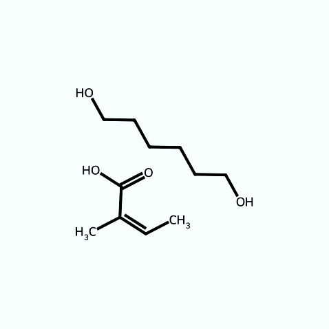 CC=C(C)C(=O)O.OCCCCCCO